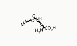 [N-]=[N+]=NCCOC(=O)NCCSCC(N)C(=O)O